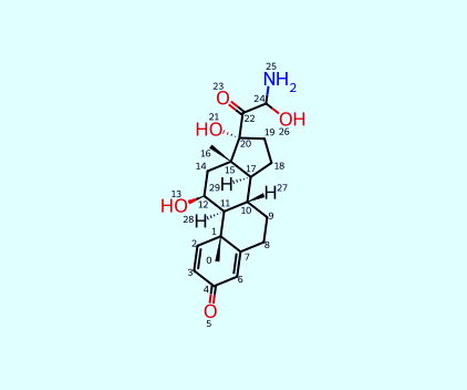 C[C@]12C=CC(=O)C=C1CC[C@@H]1[C@@H]2[C@@H](O)C[C@@]2(C)[C@H]1CC[C@]2(O)C(=O)C(N)O